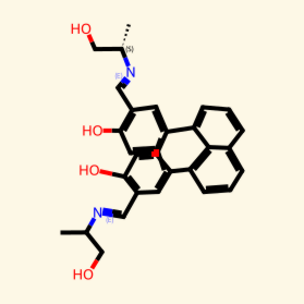 Cc1cc(O)c(/C=N/C(C)CO)cc1-c1cccc2cccc(-c3cc(/C=N/[C@@H](C)CO)c(O)cc3C)c12